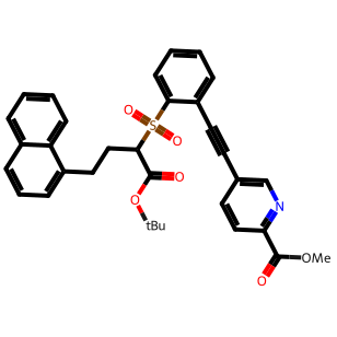 COC(=O)c1ccc(C#Cc2ccccc2S(=O)(=O)C(CCc2cccc3ccccc23)C(=O)OC(C)(C)C)cn1